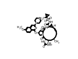 COc1ccc2c(O[C@@H]3C[C@H]4C(=O)N[C@]5(C(=O)NS(=O)(=O)C6(C)CC6)C[C@H]5C=CCC[C@@H](C)C[C@@H](C)[C@H](NC(=O)O)C(=O)N4C3)nc(N3CCOCC3)cc2c1